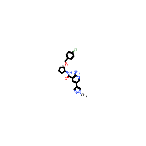 Cn1cc(-c2cnc(N)c(C(=O)NC3CCC[C@@H]3OCc3ccc(Cl)cc3)c2)cn1